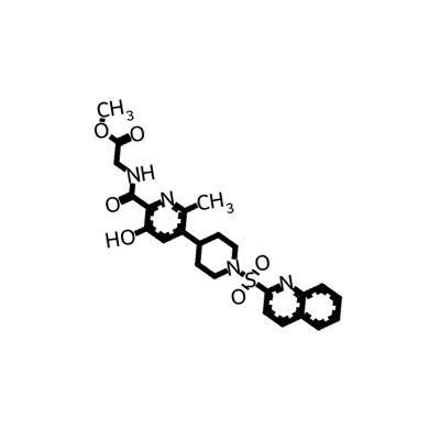 COC(=O)CNC(=O)c1nc(C)c(C2CCN(S(=O)(=O)c3ccc4ccccc4n3)CC2)cc1O